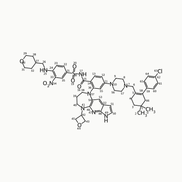 CC1(C)CCC(CN2CCN(c3ccc(C(=O)NS(=O)(=O)c4ccc(NCC5CCOCC5)c([N+](=O)[O-])c4)c(N4CCCN(C5COC5)c5nc6[nH]ccc6cc54)c3)CC2)=C(c2ccc(Cl)cc2)C1